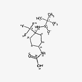 CC(C)(C)[S+]([O-])NC1(C(F)(F)F)CCC(NC(=O)O)CC1